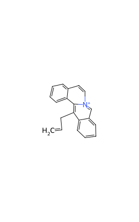 C=CCc1c2ccccc2c[n+]2ccc3ccccc3c12